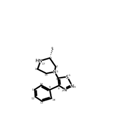 C[C@@H]1CN(c2snnc2-c2ccccc2)CCN1